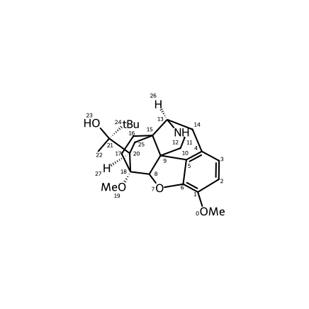 COc1ccc2c3c1OC1C34CCN[C@H](C2)C42CC[C@@]1(OC)[C@@H]([C@@](C)(O)C(C)(C)C)C2